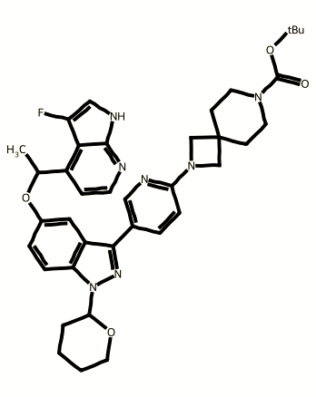 CC(Oc1ccc2c(c1)c(-c1ccc(N3CC4(CCN(C(=O)OC(C)(C)C)CC4)C3)nc1)nn2C1CCCCO1)c1ccnc2[nH]cc(F)c12